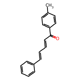 Cc1ccc(C(=O)C=CC=Cc2ccccc2)cc1